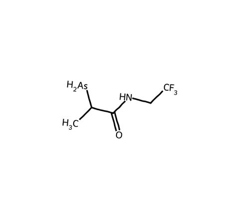 CC([AsH2])C(=O)NCC(F)(F)F